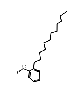 CCCCCCCCCCCCc1ccccc1[NH2+][S-]